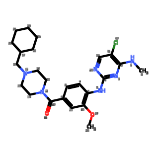 CNc1nc(Nc2ccc(C(=O)N3CCN(CC4CCCCC4)CC3)cc2OC)ncc1Cl